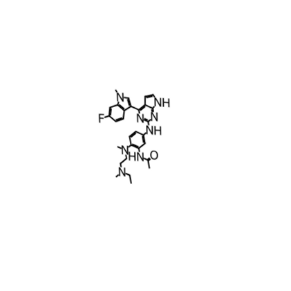 CCN(C)CCN(C)c1ccc(Nc2nc(-c3cn(C)c4cc(F)ccc34)c3cc[nH]c3n2)cc1NC(C)=O